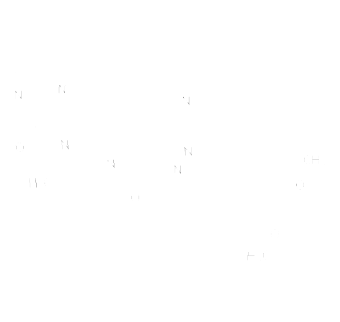 COc1ccc(-c2ccnc3cc(C(=O)N4CCN(C(=O)c5ncccn5)[C@@H](C)C4)nn23)cc1OC